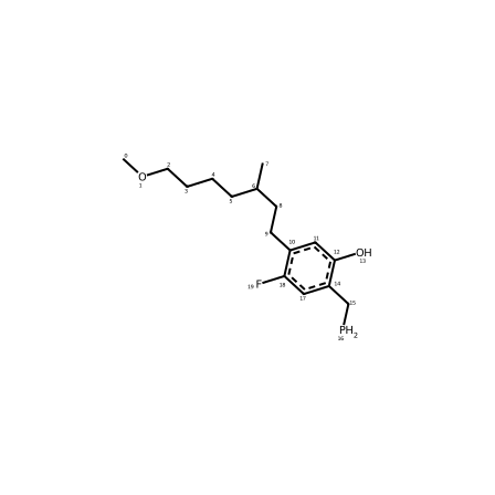 COCCCCC(C)CCc1cc(O)c(CP)cc1F